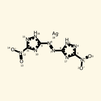 O=[N+]([O-])c1n[nH]c(N=Nc2nc([N+](=O)[O-])n[nH]2)n1.[Ag]